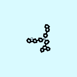 c1cc(-c2cc3ccccc3c3ccccc23)cc(N(c2ccc(-c3ccc4ccccc4c3)cc2)c2ccc(-c3ccc4c(c3)oc3ccccc34)cc2)c1